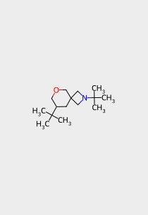 CC(C)(C)C1COCC2(C1)CN(C(C)(C)C)C2